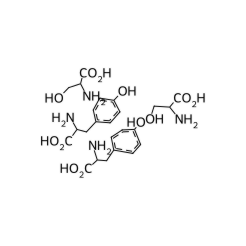 NC(CO)C(=O)O.NC(CO)C(=O)O.NC(Cc1ccc(O)cc1)C(=O)O.NC(Cc1ccc(O)cc1)C(=O)O